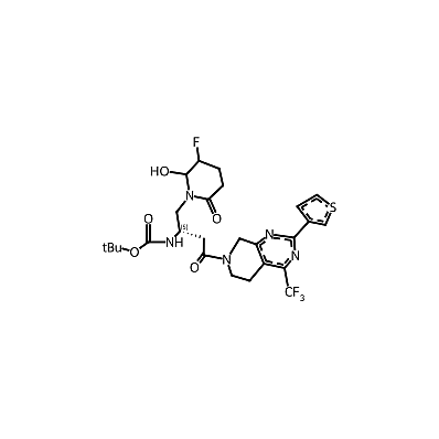 CC(C)(C)OC(=O)N[C@@H](CC(=O)N1CCc2c(nc(-c3ccsc3)nc2C(F)(F)F)C1)CN1C(=O)CCC(F)C1O